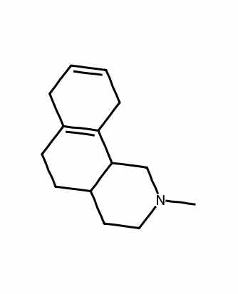 CN1CCC2CCC3=C(CC=CC3)C2C1